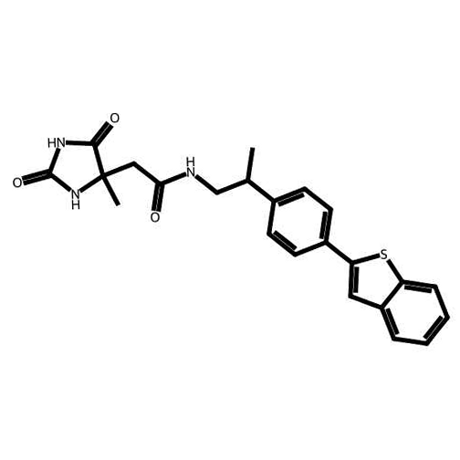 CC(CNC(=O)CC1(C)NC(=O)NC1=O)c1ccc(-c2cc3ccccc3s2)cc1